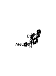 CC[C@H](N)C(=O)N[C@@H]1C(=O)N2[C@@H](CCC1CCN(C)Cc1ccccc1)CC[C@H]2C(=O)NCCc1ccc(OC)cc1